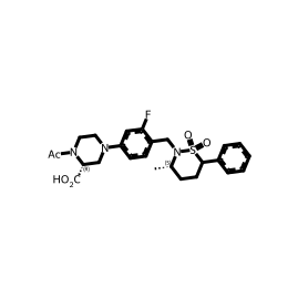 CC(=O)N1CCN(c2ccc(CN3[C@@H](C)CCC(c4ccccc4)S3(=O)=O)c(F)c2)C[C@@H]1C(=O)O